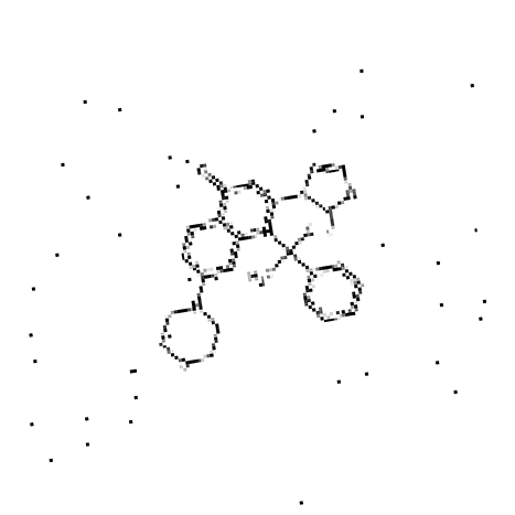 CC(C)(c1ccccc1)n1c(N2C=CON2)cc(=O)c2ccc(N3CCOCC3)cc21